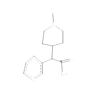 CN1CCC(C(C(N)=O)c2cccnc2)CC1